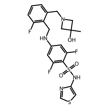 CC1(O)CN(Cc2cccc(F)c2CNc2cc(F)c(S(=O)(=O)Nc3cscn3)c(F)c2)C1